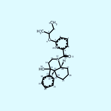 CCC(C)Oc1cccc(C(=O)N2CCC(O)(c3ccccc3)[C@H]3CCCC[C@H]32)n1